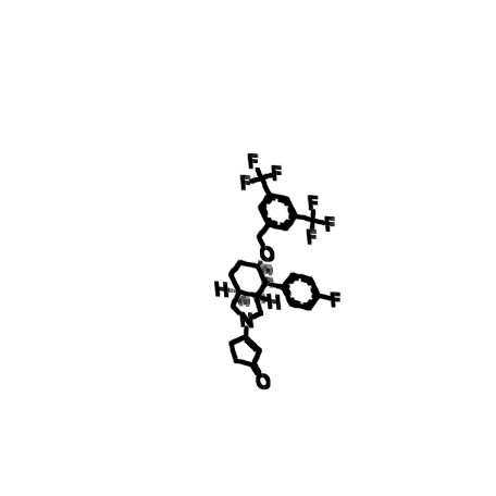 O=C1C=C(N2C[C@H]3CC[C@H](OCc4cc(C(F)(F)F)cc(C(F)(F)F)c4)[C@@H](c4ccc(F)cc4)[C@@H]3C2)CC1